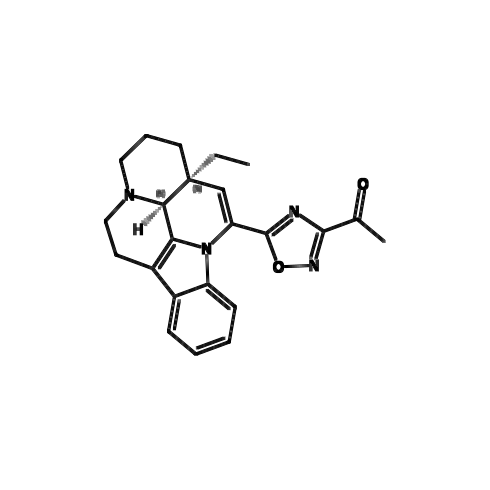 CC[C@@]12C=C(c3nc(C(C)=O)no3)n3c4c(c5ccccc53)CCN(CCC1)[C@H]42